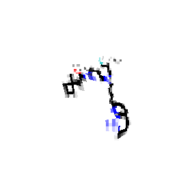 COC(CF)CN(CCCCc1ccc2c(n1)NCCC2)CCC(NC(=O)CC1(C)CCC1)C(=O)O